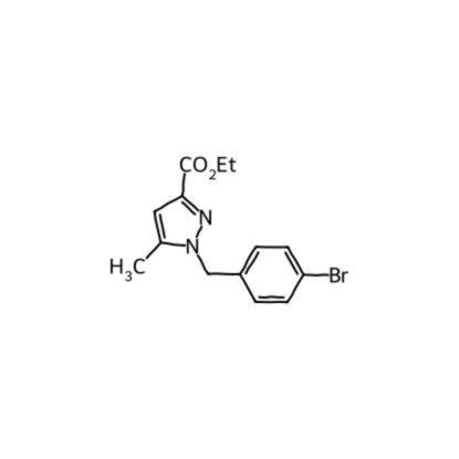 CCOC(=O)c1cc(C)n(Cc2ccc(Br)cc2)n1